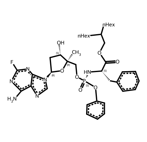 CCCCCCC(CCCCCC)COC(=O)[C@H](Cc1ccccc1)N[P@](=O)(OC[C@@]1(C)O[C@@H](n2cnc3c(N)nc(F)nc32)C[C@@H]1O)Oc1ccccc1